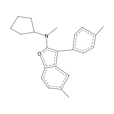 Cc1ccc(-c2c(N(C)C3CCCC3)oc3ccc(C)cc23)cc1